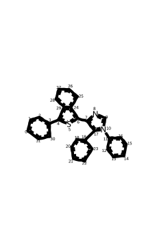 c1ccc(-c2sc(-c3ncn(-c4ccccc4)c3-c3ccccc3)c3ccccc23)cc1